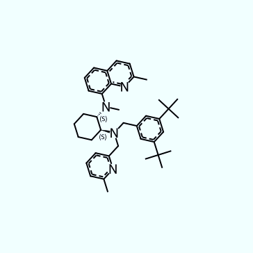 Cc1cccc(CN(Cc2cc(C(C)(C)C)cc(C(C)(C)C)c2)[C@H]2CCCC[C@@H]2N(C)c2cccc3ccc(C)nc23)n1